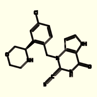 O=C1NC(=C=S)N(Cc2ccc(Cl)cc2[C@@H]2COCCN2)c2cc[nH]c21